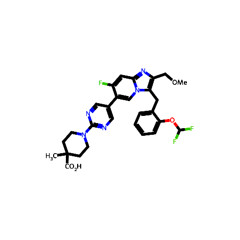 COCc1nc2cc(F)c(-c3cnc(N4CCC(C)(C(=O)O)CC4)nc3)cn2c1Cc1ccccc1OC(F)F